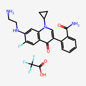 NCCNc1cc2c(cc1F)c(=O)c(-c1ccccc1C(N)=O)cn2C1CC1.O=C(O)C(F)(F)F